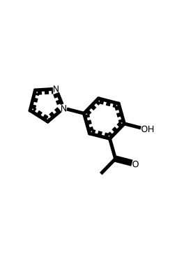 CC(=O)c1cc(-n2cccn2)ccc1O